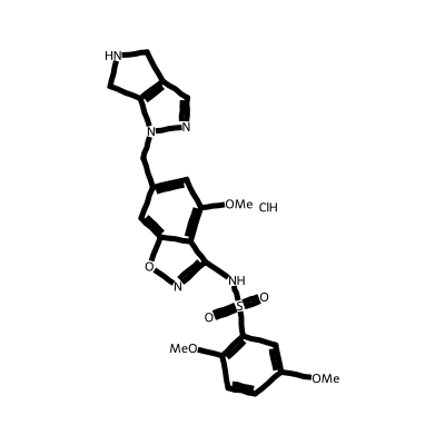 COc1ccc(OC)c(S(=O)(=O)Nc2noc3cc(Cn4ncc5c4CNC5)cc(OC)c23)c1.Cl